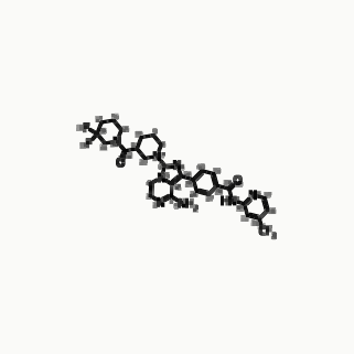 Nc1nccn2c(N3CCCC(C(=O)N4CCCC(F)(F)C4)C3)nc(-c3ccc(C(=O)Nc4cc(C(F)(F)F)ccn4)cc3)c12